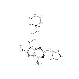 COc1nc2c(N)nc(OC3CCCC3)nc2n1CCCCN1CCCCC1